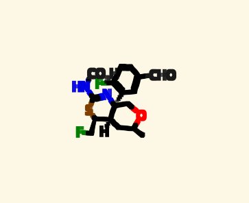 C[C@H]1C[C@H]2[C@@H](CF)SC(NC(=O)O)=N[C@@]2(c2cc(C=O)ccc2F)CO1